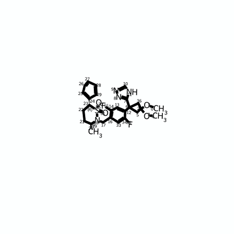 COC1(OC)CC(c2nnc[nH]2)(c2cc(F)c(CN3[C@@H](C)CC[C@H](c4ccccc4)S3(=O)=O)cc2F)C1